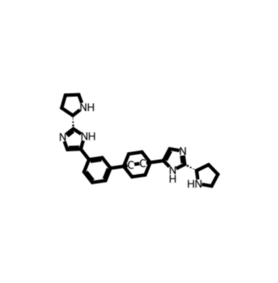 c1cc(-c2cnc([C@@H]3CCCN3)[nH]2)cc(C23CCC(c4cnc([C@@H]5CCCN5)[nH]4)(CC2)CC3)c1